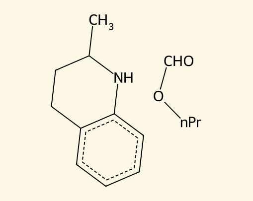 CC1CCc2ccccc2N1.CCCOC=O